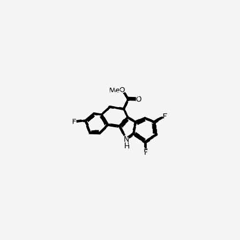 COC(=O)C1Cc2cc(F)ccc2-c2[nH]c3c(F)cc(F)cc3c21